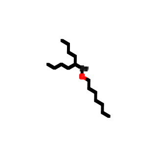 CCCCCCC[O][Sn][CH](CCCC)CCCC